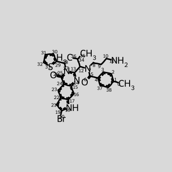 Cc1ccc(C(=O)N(CCCN)C(c2nc3cc4[nH]c(Br)cc4cc3c(=O)n2Cc2cccs2)C(C)C)cc1